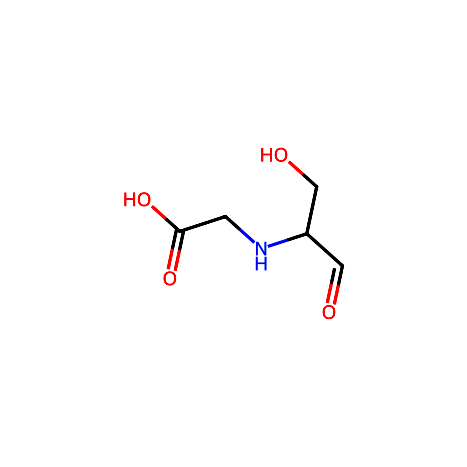 O=CC(CO)NCC(=O)O